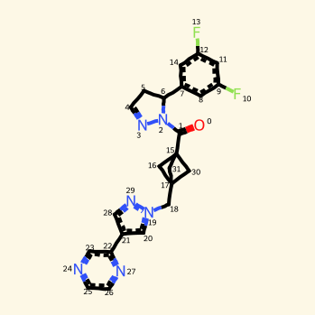 O=C(N1N=CCC1c1cc(F)cc(F)c1)C12CC(Cn3cc(-c4cnccn4)cn3)(C1)C2